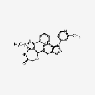 Cc1cc(-n2ncc3cc(C4SCC(=O)Nc5c4c(-c4ccccn4)nn5C)ccc32)ccn1